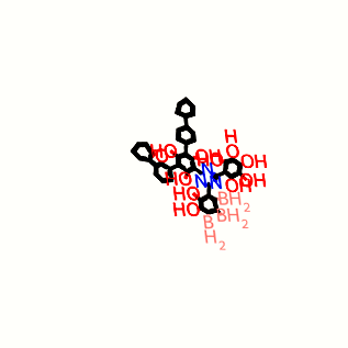 Bc1c(B)c(O)c(O)c(-c2nc(-c3c(O)c(O)c(O)c(O)c3O)nc(-c3c(O)c(-c4ccc(-c5ccccc5)cc4)c(O)c(-c4cccc5c4oc4ccccc45)c3O)n2)c1B